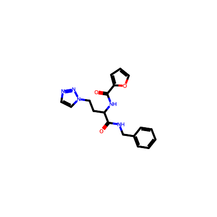 O=C(NC(CCn1ccnn1)C(=O)NCc1ccccc1)c1ccco1